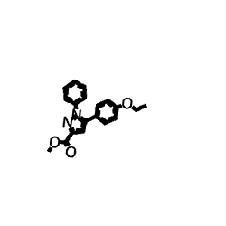 CCOc1ccc(-c2cc(C(=O)OC)nn2-c2ccccc2)cc1